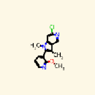 COc1ncccc1-c1c(C)c2cnc(Cl)cc2n1C